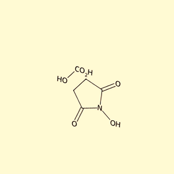 O=C(O)O.O=C1CCC(=O)N1O